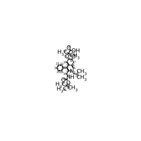 CC(C)CN1C=C2CC(=O)C(OC(C)(C)C(=O)O)C=C2C(c2ccccc2)=C1CNC(=O)OC(C)(C)C